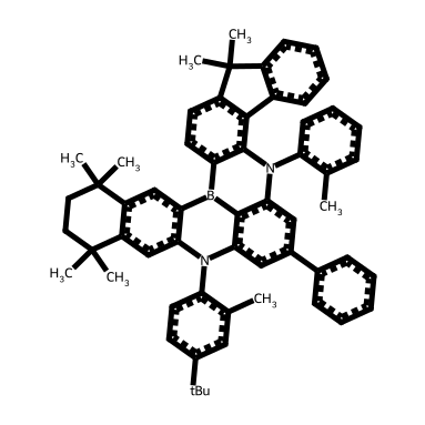 Cc1cc(C(C)(C)C)ccc1N1c2cc3c(cc2B2c4ccc5c(c4N(c4ccccc4C)c4cc(-c6ccccc6)cc1c42)-c1ccccc1C5(C)C)C(C)(C)CCC3(C)C